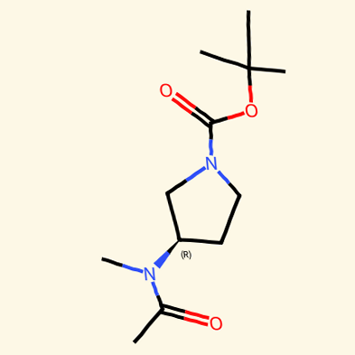 CC(=O)N(C)[C@@H]1CCN(C(=O)OC(C)(C)C)C1